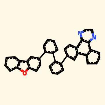 c1ccc(-c2ccccc2-c2ccc3c(c2)c2ccccc2c2nccnc32)c(-c2ccc3oc4ccccc4c3c2)c1